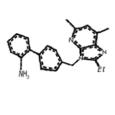 CCc1nc2c(C)cc(C)nc2n1Cc1ccc(-c2ccccc2N)cc1